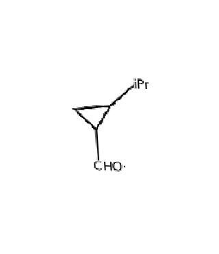 CC(C)C1CC1[C]=O